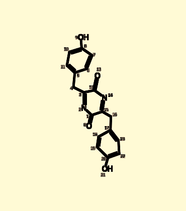 O=C1N=C(Cc2ccc(O)cc2)C(=O)N=C1Cc1ccc(O)cc1